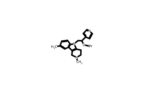 Cc1ccc2c(c1)c1c(n2CC(OC(C)C)c2ccncc2)CCN(C)C1